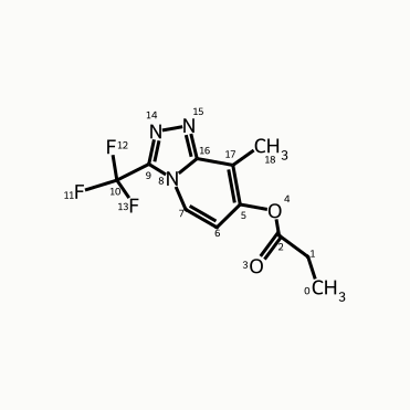 CCC(=O)Oc1ccn2c(C(F)(F)F)nnc2c1C